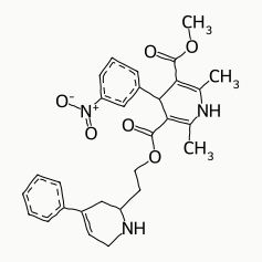 COC(=O)C1=C(C)NC(C)=C(C(=O)OCCC2CC(c3ccccc3)=CCN2)C1c1cccc([N+](=O)[O-])c1